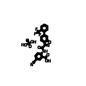 N#Cc1ccc(NC(=O)c2noc3cc(-c4ccccc4C(F)(F)F)ccc23)c(C(=O)O)c1.O=S(=O)(O)O